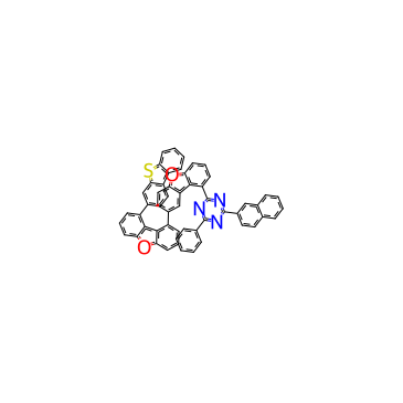 c1ccc(-c2nc(-c3ccc4ccccc4c3)nc(-c3cccc4oc5ccc(-c6cccc7oc8cccc(-c9ccc%10c(c9)sc9ccccc9%10)c8c67)cc5c34)n2)cc1